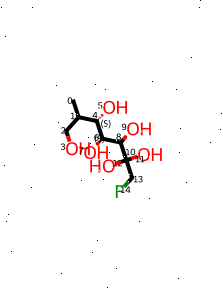 CC(CO)[C@H](O)[C@H](O)C(O)C(O)(O)CF